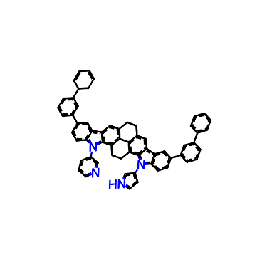 C1=CCC(c2cccc(-c3ccc4c(c3)c3cc5c6c(c3n4-c3cccnc3)CCc3c-6c(cc4c6cc(-c7cccc(-c8ccccc8)c7)ccc6n(-c6cc[nH]c6)c34)CC5)c2)C=C1